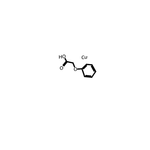 O=C(O)COc1ccccc1.[Cu]